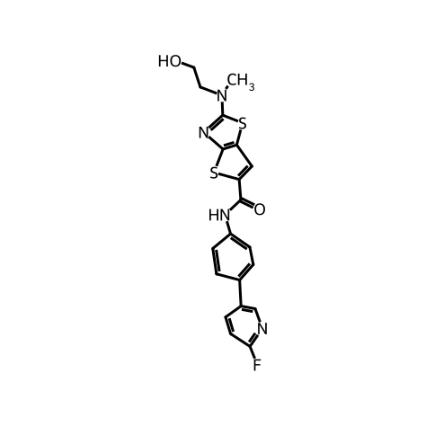 CN(CCO)c1nc2sc(C(=O)Nc3ccc(-c4ccc(F)nc4)cc3)cc2s1